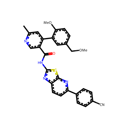 COCc1ccc(OC)c(-c2cc(C)ncc2C(=O)Nc2nc3ccc(-c4ccc(C#N)cc4)nc3s2)c1